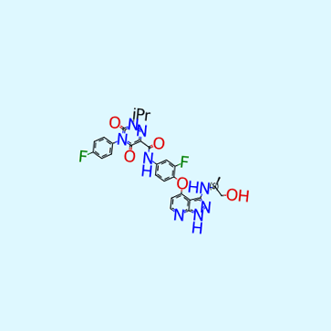 CC(C)n1nc(C(=O)Nc2ccc(Oc3ccnc4[nH]nc(N[C@@H](C)CO)c34)c(F)c2)c(=O)n(-c2ccc(F)cc2)c1=O